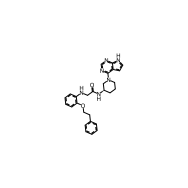 O=C(CNc1ccccc1OCCc1ccccc1)N[C@@H]1CCCN(c2ncnc3[nH]ccc23)C1